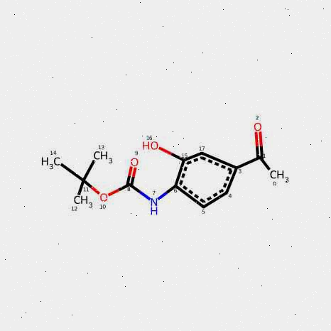 CC(=O)c1ccc(NC(=O)OC(C)(C)C)c(O)c1